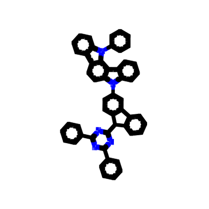 c1ccc(-c2nc(-c3ccccc3)nc(C3c4ccccc4-c4cc(-n5c6ccccc6c6c5ccc5c7ccccc7n(-c7ccccc7)c56)ccc43)n2)cc1